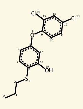 CCCSc1ccc(Oc2ccc(Cl)cc2Cl)cc1O